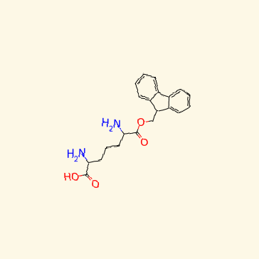 NC(CCCC(N)C(=O)OCC1c2ccccc2-c2ccccc21)C(=O)O